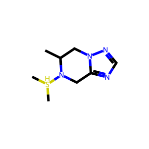 CC1Cn2ncnc2CN1[SH](C)C